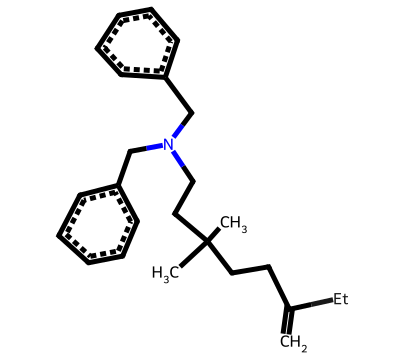 C=C(CC)CCC(C)(C)CCN(Cc1ccccc1)Cc1ccccc1